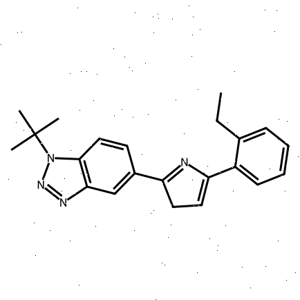 CCc1ccccc1C1=CCC(c2ccc3c(c2)nnn3C(C)(C)C)=N1